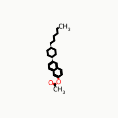 CCCCCC[C@H]1CC[C@H](c2ccc3cc(OC(C)=O)ccc3c2)CC1